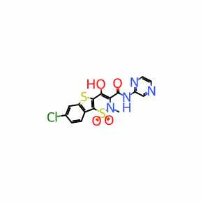 CN1C(C(=O)Nc2cnccn2)=C(O)c2sc3cc(Cl)ccc3c2S1(=O)=O